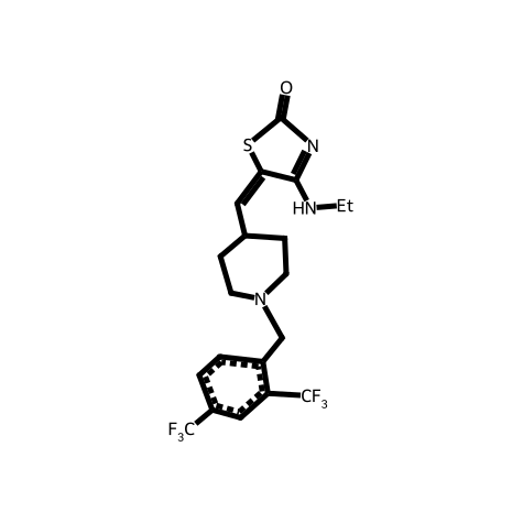 CCNC1=NC(=O)SC1=CC1CCN(Cc2ccc(C(F)(F)F)cc2C(F)(F)F)CC1